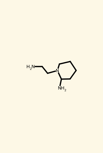 NCCN1CCCCC1N